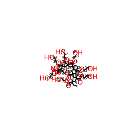 CCC(C)(CC(C)(CC(C)(CC(C)(CC(C)(CC(C)(CC(C)(CC(C)(C)C(=O)OCCO)C(=O)OCCO)C(=O)OCCO)C(=O)OCCO)C(=O)OCCO)C(=O)OCCO)C(=O)OCCO)C(=O)OCCO